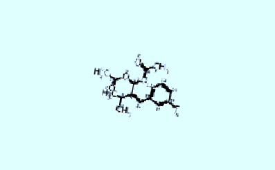 CC(=O)OC(OC(C)=O)C(=Cc1cccc(F)c1)C(C)C